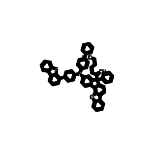 C=C(/C=C\C=C/C)C1(c2ccccc2)c2cc(N(c3ccc(-c4ccccc4)cc3)c3ccc(-c4cccc5c4sc4ccccc45)cc3)ccc2-c2c1ccc1c2oc2ccccc21